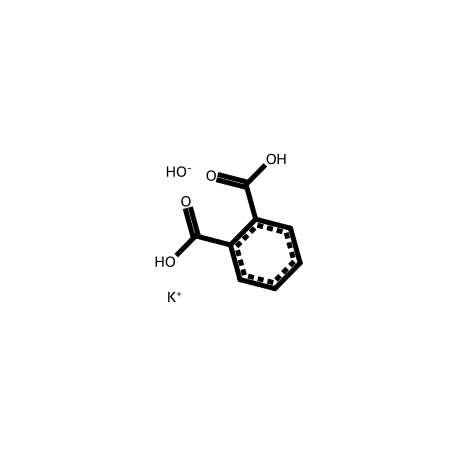 O=C(O)c1ccccc1C(=O)O.[K+].[OH-]